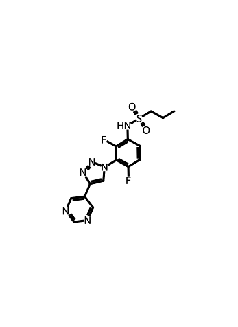 CCCS(=O)(=O)Nc1ccc(F)c(-n2cc(-c3cncnc3)nn2)c1F